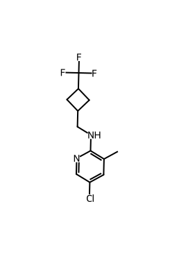 Cc1cc(Cl)cnc1NCC1CC(C(F)(F)F)C1